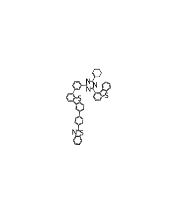 C1=CCCC(c2nc(-c3cccc(-c4cccc5c4sc4ccc(-c6ccc(-c7nc8ccccc8s7)cc6)cc45)c3)nc(-c3cccc4sc5ccccc5c34)n2)=C1